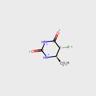 O=C1NC(=O)[C@H](F)[C@@H](C(=O)O)N1